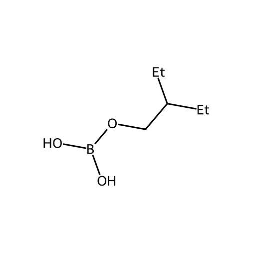 CCC(CC)COB(O)O